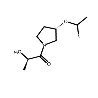 CC(I)O[C@H]1CCN(C(=O)[C@@H](C)O)C1